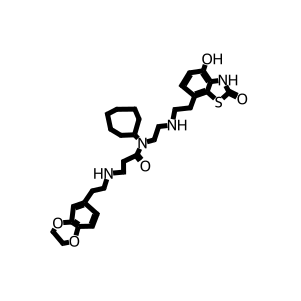 O=C(CCNCCc1ccc2c(c1)OCCO2)N(CCNCCc1ccc(O)c2[nH]c(=O)sc12)C1CCCCCC1